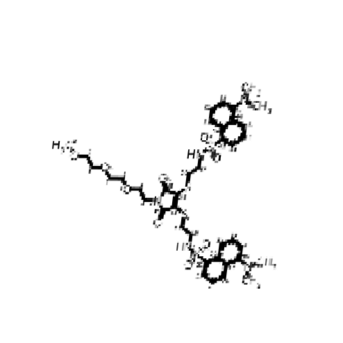 COCCOCCOCCN1C(=O)C(SCCNS(=O)(=O)c2cccc3c(N(C)C)cccc23)=C(SCCNS(=O)(=O)c2cccc3c(N(C)C)cccc23)C1=O